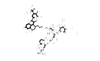 CC[C@@]1(O)C(=O)OCc2c1cc1n(c2=O)Cc2c-1nc1cc(F)c(C)c3c1c2C(CCCOCNC(=O)[C@H](CO[C@@H]1O[C@H](C(=O)O)[C@@H](O)[C@H](O)[C@H]1O)NC(=O)[C@@H](NC(=O)OC[C@H](CNC(=O)OC(C)(C)C)N1C(=O)C=CC1=O)C(C)C)CC3